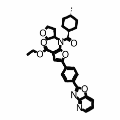 CCOC(=O)c1cc(-c2ccc(-c3nc4ncccc4o3)cc2)oc1N(C(=O)[C@H]1CC[C@H](C)CC1)C1CCOC1